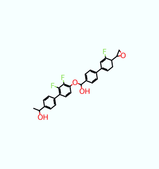 CC(O)c1ccc(-c2ccc(OC(O)c3ccc(C4=CCC(C5CO5)C(F)=C4)cc3)c(F)c2F)cc1